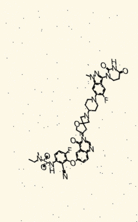 CCN(C)S(=O)(=O)Nc1ccc(F)c(Oc2ccc3ncn([C@H]4COC5(C4)CN(C4CCN(c6cc7c(cc6F)c(N6CCC(=O)NC6=O)nn7C)CC4)C5)c(=O)c3c2)c1C#N